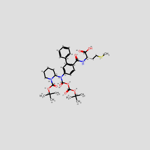 CSCC[C@H](NC(=O)c1ccc(N(C(=O)OC(=O)OC(C)(C)C)C2CCCCN2C(=O)OC(C)(C)C)cc1-c1ccccc1)C(=O)O